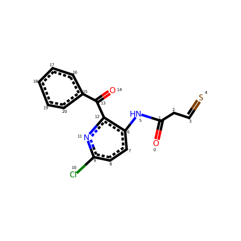 O=C(CC=S)Nc1ccc(Cl)nc1C(=O)c1ccccc1